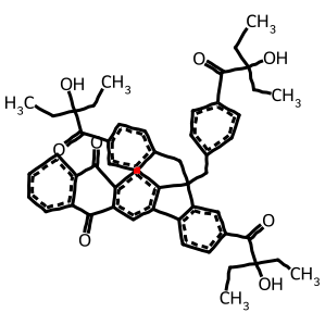 CCC(O)(CC)C(=O)c1ccc(CC2(Cc3ccc(C(=O)C(O)(CC)CC)cc3)c3cc(C(=O)C(O)(CC)CC)ccc3-c3cc4c(cc32)C(=O)c2ccccc2C4=O)cc1